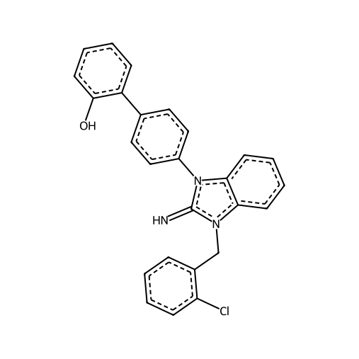 N=c1n(Cc2ccccc2Cl)c2ccccc2n1-c1ccc(-c2ccccc2O)cc1